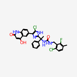 Cc1ccc(Cl)c(CNC(=O)NC(C)(c2ccccc2)c2nc(-c3ccc4[nH]c(=O)cc(O)c4c3)c(Cl)[nH]2)c1F